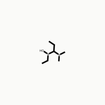 CCC(N(C)C)N(O)CC